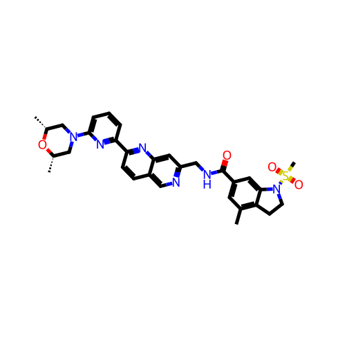 Cc1cc(C(=O)NCc2cc3nc(-c4cccc(N5C[C@@H](C)O[C@@H](C)C5)n4)ccc3cn2)cc2c1CCN2S(C)(=O)=O